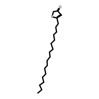 CCCCCCCCCCCCCCCCCCC1=CC(=O)CS1